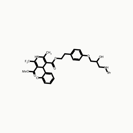 COC(=O)C1=C(C(F)(F)F)NC(C)=C(C(=O)OCCc2ccc(OCC(O)CNC(C)C)cc2)C1c1ccccc1Cl